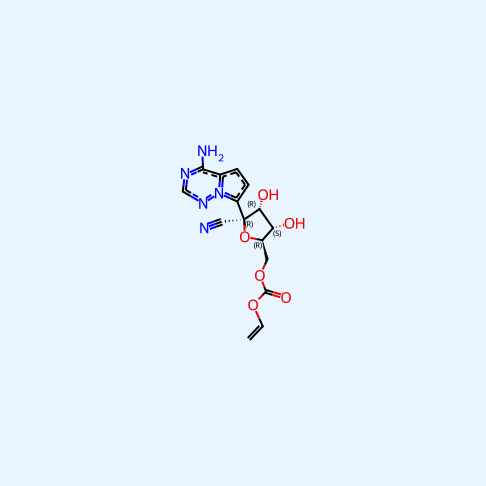 C=COC(=O)OC[C@H]1O[C@@](C#N)(c2ccc3c(N)ncnn23)[C@H](O)[C@@H]1O